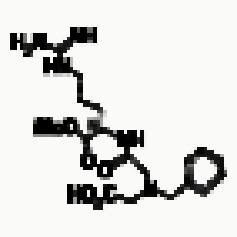 COC(=O)[C@H](CCCNC(=N)N)NC(=O)CN(CC(=O)O)Cc1ccccc1